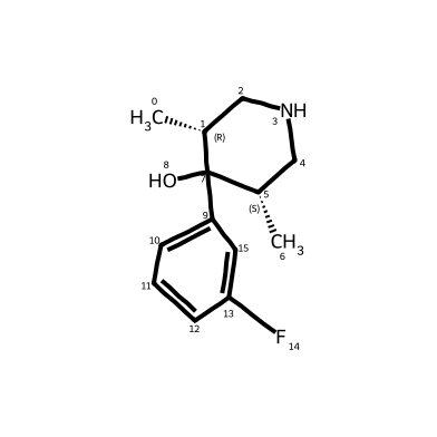 C[C@@H]1CNC[C@H](C)C1(O)c1cccc(F)c1